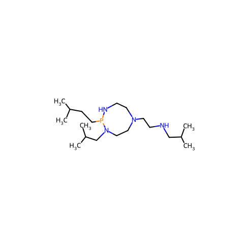 CC(C)CCP1NCCN(CCNCC(C)C)CCN1CC(C)C